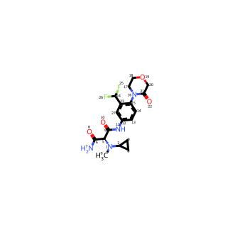 CN(C1CC1)[C@@H](C(N)=O)C(=O)Nc1ccc(N2CCOCC2=O)c(C(F)F)c1